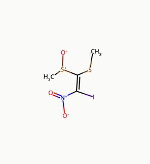 CSC(=C(I)[N+](=O)[O-])[S+](C)[O-]